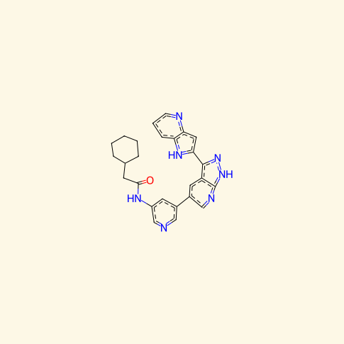 O=C(CC1CCCCC1)Nc1cncc(-c2cnc3[nH]nc(-c4cc5ncccc5[nH]4)c3c2)c1